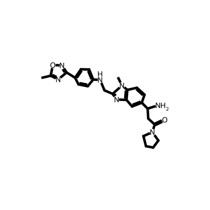 Cc1nc(-c2ccc(NCc3nc4cc(C(N)CC(=O)N5CCCC5)ccc4n3C)cc2)no1